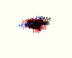 CN[C@H](CC(C)C)C(=O)N[C@H]1C(=O)N[C@@H](CC(N)=O)C(=O)N[C@H]2C(=O)N[C@H]3C(=O)N[C@H](C(=O)N[C@@H](C(=O)NNC(=N)N)c4cc(O)cc(O)c4-c4cc3ccc4O)[C@H](O)c3ccc(c(Cl)c3)Oc3cc2cc(c3O[C@@H]2O[C@H](CO)[C@@H](O)[C@H](O)[C@H]2O[C@H]2C[C@](C)(NCCn3ccc(NC(=O)/C=C/c4ccc(Cl)c(Cl)c4)nc3=O)[C@H](O)[C@H](C)O2)Oc2ccc(cc2Cl)[C@H]1O